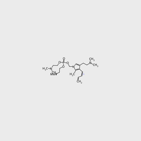 C=C/C=C\c1c(CCN(C)C)cn(COP(=O)(OCCNC)OCCN(C)C)c1C